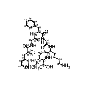 CC(O)C(NC(=O)C(CCCCN)NC(=O)CNC(=O)C(Cc1ccccc1)NC(=O)CNC(=O)[C@H](N)Cc1ccccc1)C(=O)NCC=O